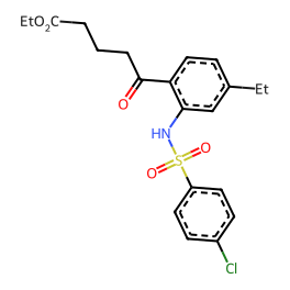 CCOC(=O)CCCC(=O)c1ccc(CC)cc1NS(=O)(=O)c1ccc(Cl)cc1